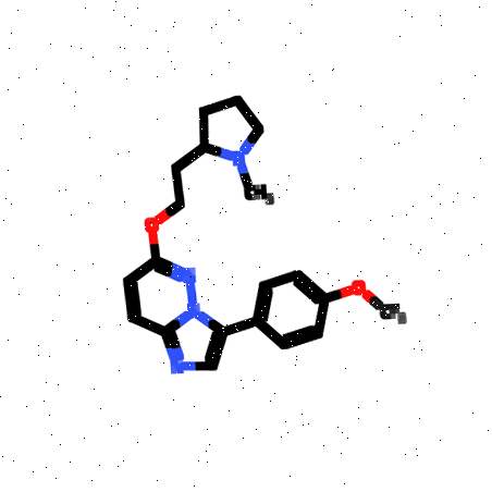 CN1CCCC1CCOc1ccc2ncc(-c3ccc(OC(F)(F)F)cc3)n2n1